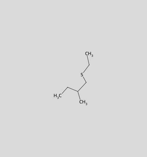 CCSCC(C)CC